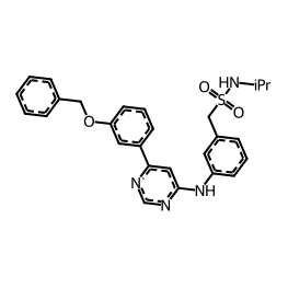 CC(C)NS(=O)(=O)Cc1cccc(Nc2cc(-c3cccc(OCc4ccccc4)c3)ncn2)c1